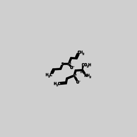 C=CCS[S+]([O-])CC=C.C=CC[S+]([O-])C[C@H](N)C(=O)O